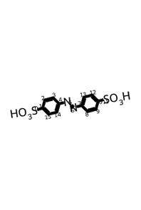 O=S(=O)(O)c1ccc(N=Nc2ccc(S(=O)(=O)O)cc2)cc1